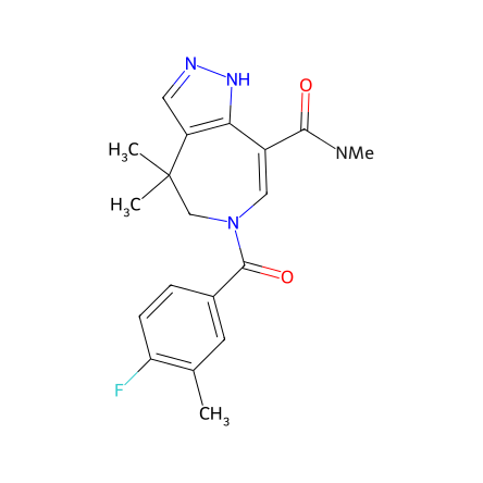 CNC(=O)C1=CN(C(=O)c2ccc(F)c(C)c2)CC(C)(C)c2cn[nH]c21